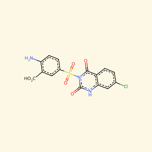 Nc1ccc(S(=O)(=O)n2c(=O)[nH]c3cc(Cl)ccc3c2=O)cc1C(=O)O